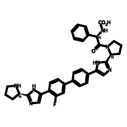 O=C(O)N[C@@H](C(=O)N1CCC[C@H]1c1ncc(-c2ccc(-c3ccc(-c4cnc([C@@H]5CCCN5)[nH]4)c(F)c3)cc2)[nH]1)c1ccccc1